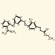 CCOC(=O)CCc1ccc(OCc2cccc(Oc3ccccc3C(C)C)c2)c(F)c1